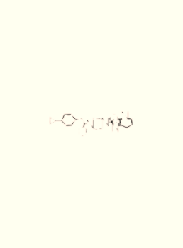 O=C(Cc1ccc(C2CC2)cc1)N1CCN(c2nc3cccnc3o2)CC1